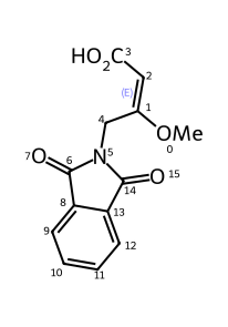 CO/C(=C/C(=O)O)CN1C(=O)c2ccccc2C1=O